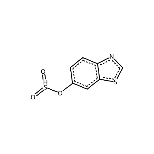 O=[SH](=O)Oc1ccc2ncsc2c1